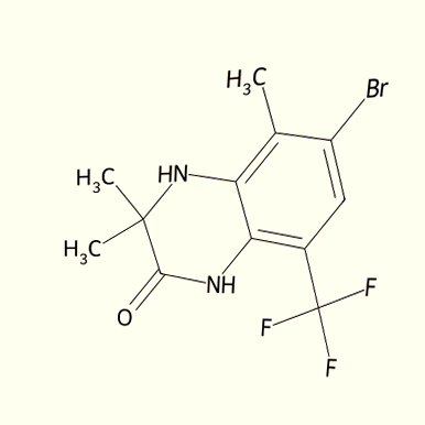 Cc1c(Br)cc(C(F)(F)F)c2c1NC(C)(C)C(=O)N2